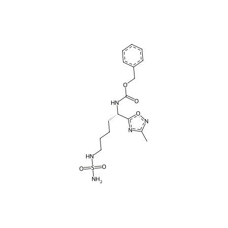 Cc1noc([C@H](CCCCNS(N)(=O)=O)NC(=O)OCc2ccccc2)n1